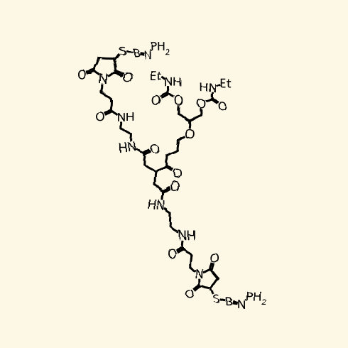 CCNC(=O)OCC(COC(=O)NCC)OCCCC(=O)C(CC(=O)NCCNC(=O)CCN1C(=O)CC(S/B=N/P)C1=O)CC(=O)NCCNC(=O)CCN1C(=O)CC(S/B=N/P)C1=O